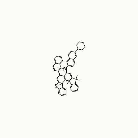 CC1(C)C2=CC3(C)C4=C(C5(C)C(=CC4(C)c4ccc6ccccc6c4N3c3ccc4cc(C6CCCCC6)ccc4c3)Sc3ccccc35)C2(C)c2ccccc21